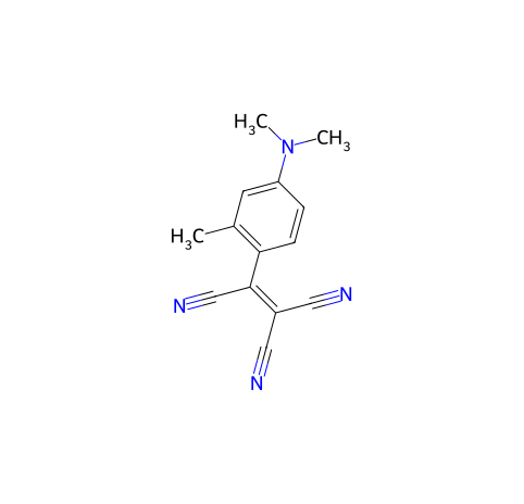 Cc1cc(N(C)C)ccc1C(C#N)=C(C#N)C#N